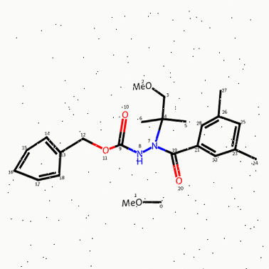 COC.COCC(C)(C)N(NC(=O)OCc1ccccc1)C(=O)c1cc(C)cc(C)c1